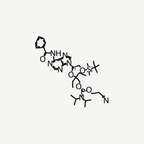 CCC(CC)(COP(OCCC#N)N(C(C)C)C(C)C)O[C@H](CO[Si](C)(C)C(C)(C)C)n1cnc2c(NC(=O)c3ccccc3)ncnc21